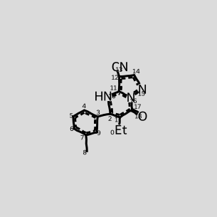 CCc1c(-c2cccc(C)c2)[nH]c2c(C#N)cnn2c1=O